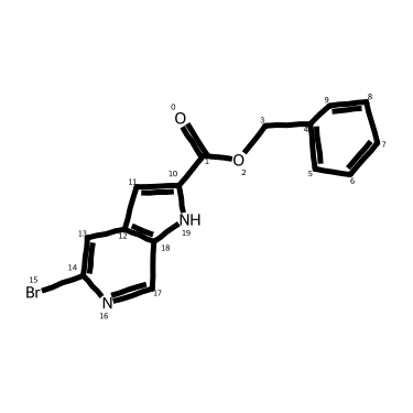 O=C(OCc1ccccc1)c1cc2cc(Br)ncc2[nH]1